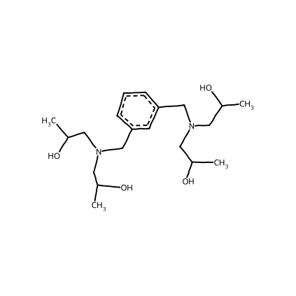 CC(O)CN(Cc1cccc(CN(CC(C)O)CC(C)O)c1)CC(C)O